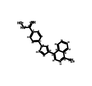 N=C(NO)c1ccc(-n2cc(-c3cnc(N)c4ccccc34)cn2)cc1